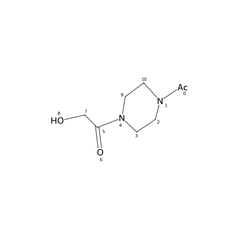 CC(=O)N1CCN(C(=O)CO)CC1